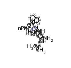 C=C(/N=C(\C(=C/C)C(=O)NCCC)c1cn2c3c(cccc13)CCC2)Nc1cc(N)c(NCCN(C)C)cc1C(C)CC